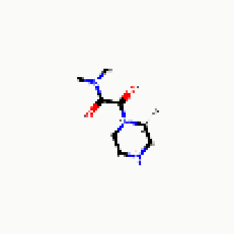 C[C@@H]1CNCCN1C(=O)C(=O)N(C)C